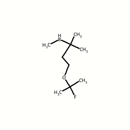 CBC(C)(C)CCOC(C)(C)F